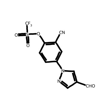 N#Cc1cc(-n2cc(C=O)cn2)ccc1OS(=O)(=O)C(F)(F)F